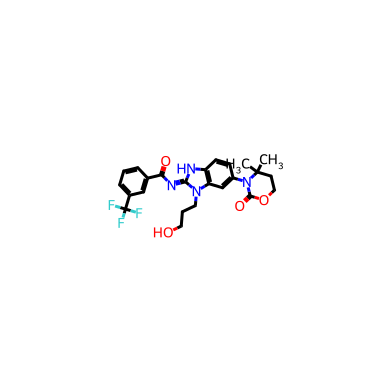 CC1(C)CCOC(=O)N1c1ccc2[nH]/c(=N\C(=O)c3cccc(C(F)(F)F)c3)n(CCCO)c2c1